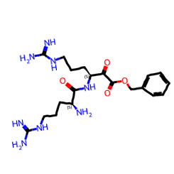 N=C(N)NCCC[C@H](NC(=O)[C@@H](N)CCCNC(=N)N)C(=O)C(=O)OCc1ccccc1